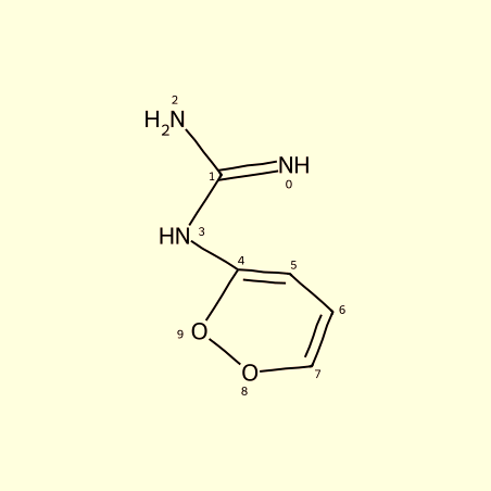 N=C(N)NC1=CC=COO1